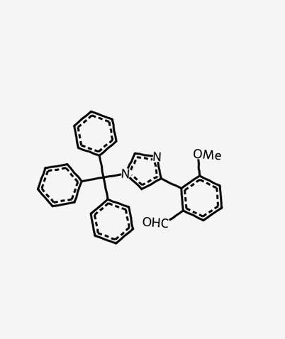 COc1cccc(C=O)c1-c1cn(C(c2ccccc2)(c2ccccc2)c2ccccc2)cn1